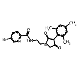 Cc1cc(C)c(C2C(=O)C[C@@H](CCNC(=O)c3ccc(Br)cn3)C2=O)c(C)c1